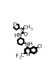 CN(C(=O)N[C@@H]1CCC[C@H](Nc2cc(C(F)(F)F)nc3ccc(Cl)cc23)C1)[C@@H]1CCOC1